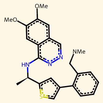 CNCc1ccccc1-c1csc([C@@H](C)Nc2nncc3cc(OC)c(OC)cc23)c1